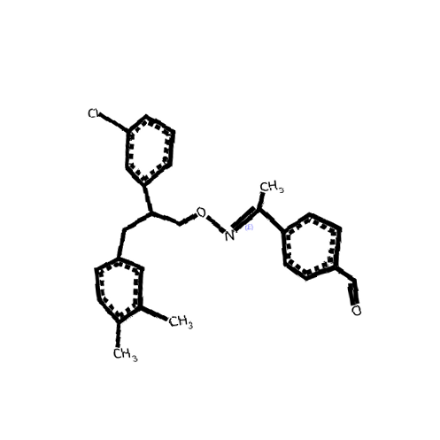 C/C(=N\OCC(Cc1ccc(C)c(C)c1)c1cccc(Cl)c1)c1ccc(C=O)cc1